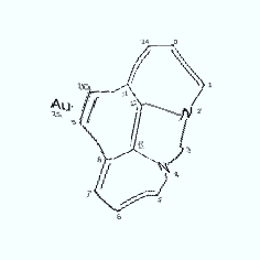 C1=CN2CN3C=CC=c4ccc(c2c43)=C1.[Au]